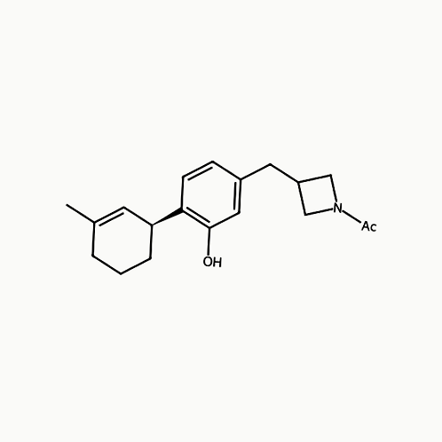 CC(=O)N1CC(Cc2ccc([C@@H]3C=C(C)CCC3)c(O)c2)C1